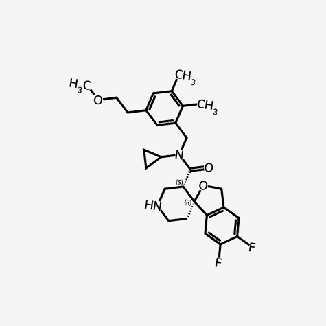 COCCc1cc(C)c(C)c(CN(C(=O)[C@H]2CNCC[C@@]23OCc2cc(F)c(F)cc23)C2CC2)c1